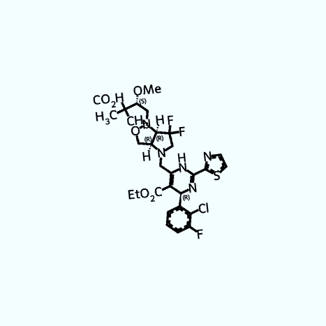 CCOC(=O)C1=C(CN2CC(F)(F)[C@H]3[C@@H]2CON3C[C@@H](OC)C(C)(C)C(=O)O)NC(c2nccs2)=N[C@H]1c1cccc(F)c1Cl